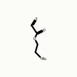 CCCCCCOC(=O)[C]=S